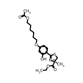 CCOC(=O)[C@@]1(C)CSC(c2ccc(OCCCCCCOC(C)=O)cc2O)=N1